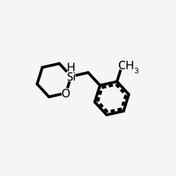 Cc1ccccc1C[SiH]1CCCCO1